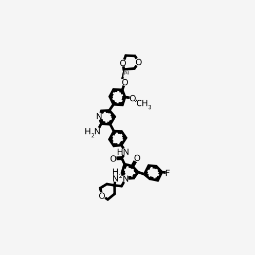 COc1cc(-c2cnc(N)c(-c3ccc(NC(=O)c4cn(CC5(N)CCOCC5)cc(-c5ccc(F)cc5)c4=O)cc3)c2)ccc1OC[C@@H]1COCCO1